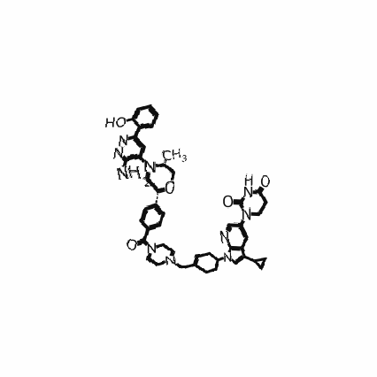 C[C@@H]1CO[C@H](c2ccc(C(=O)N3CCN(CC4CCC(n5cc(C6CC6)c6cc(N7CCC(=O)NC7=O)cnc65)CC4)CC3)cc2)CN1c1cc(-c2ccccc2O)nnc1N